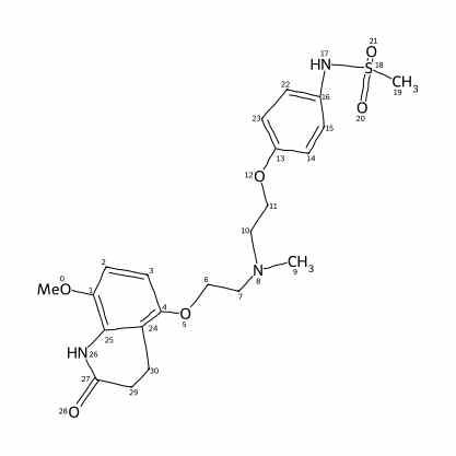 COc1ccc(OCCN(C)CCOc2ccc(NS(C)(=O)=O)cc2)c2c1NC(=O)CC2